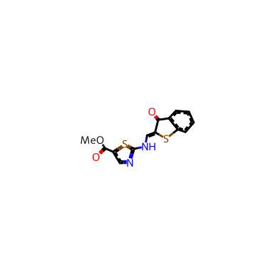 COC(=O)c1cnc(N/C=C2\Sc3ccccc3C2=O)s1